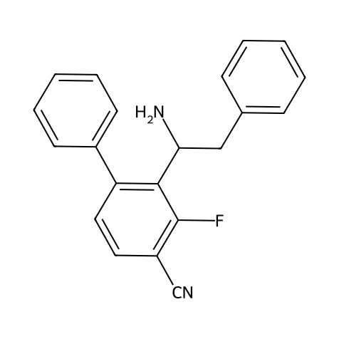 N#Cc1ccc(-c2ccccc2)c(C(N)Cc2ccccc2)c1F